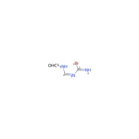 N=C(Br)/N=C\NC=O